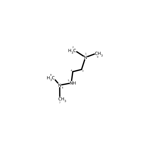 CN(C)CCNN(C)C